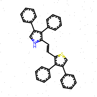 C(=C\c1scc(-c2ccccc2)c1-c1ccccc1)/c1[nH]cc(-c2ccccc2)c1-c1ccccc1